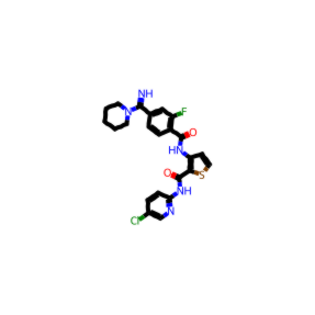 N=C(c1ccc(C(=O)Nc2ccsc2C(=O)Nc2ccc(Cl)cn2)c(F)c1)N1CCCCC1